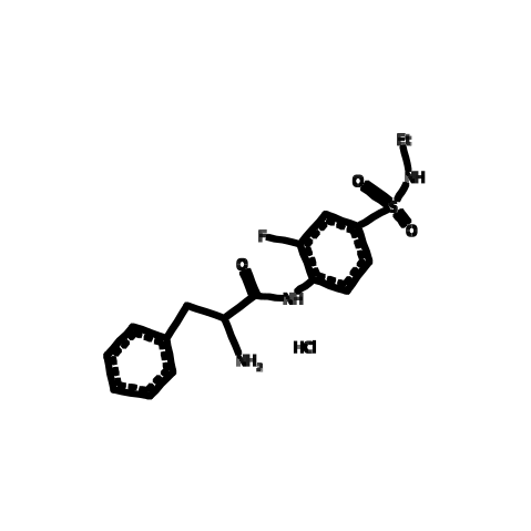 CCNS(=O)(=O)c1ccc(NC(=O)C(N)Cc2ccccc2)c(F)c1.Cl